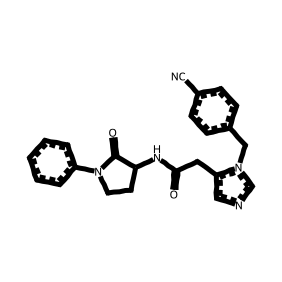 N#Cc1ccc(Cn2cncc2CC(=O)NC2CCN(c3ccccc3)C2=O)cc1